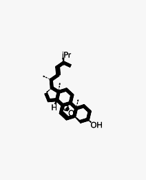 CC(C)[C@@H](C)/C=C/[C@@H](C)[C@H]1CC[C@@H]2[C@]1(C)CCC1[C@]23C=C[C@]2(C[C@@H](O)CC[C@]12C)OO3